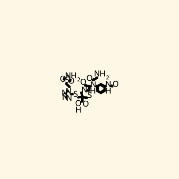 NCC(=O)N(c1cccc(NC=O)c1)C1C(=O)N2CC(CSc3nnnn3CCS(N)(=O)=O)(C(=O)O)CS[C@H]12